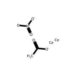 CC(=O)[O-].O=[N+]([O-])[O-].[Ce].[Ce]